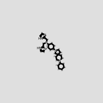 c1c[nH]c(CN(Cc2ncc[nH]2)C2CCC(N3CCC4(CCN(C5CCCCC5)CC4)C3)CC2)n1